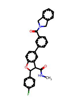 CNC(=O)C1c2cc(-c3cccc(C(=O)N4Cc5ccccc5C4)c3)ccc2OC1c1ccc(F)cc1